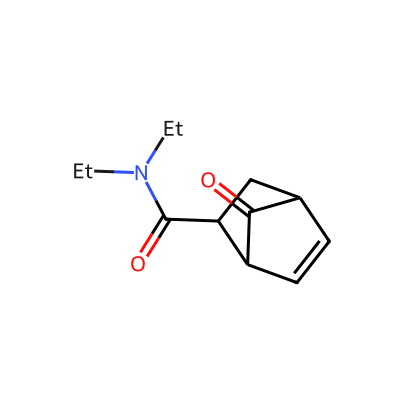 CCN(CC)C(=O)C1CC2C=CC1C2=O